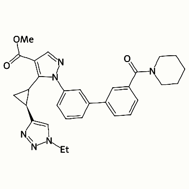 CCn1cc([C@H]2CC2c2c(C(=O)OC)cnn2-c2cccc(-c3cccc(C(=O)N4CCCCC4)c3)c2)nn1